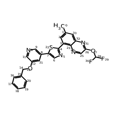 Cc1cc(-c2ncc(-c3cncc(OCc4ccccc4)c3)s2)c2ncc(OC(F)F)nc2c1